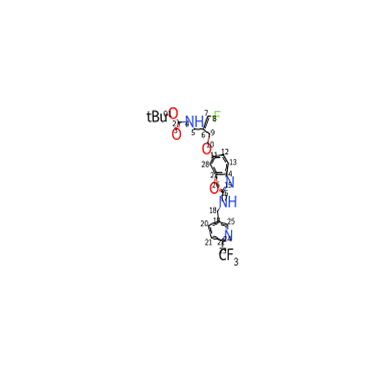 CC(C)(C)OC(=O)NC/C(=C/F)COc1ccc2nc(NCc3ccc(C(F)(F)F)nc3)oc2c1